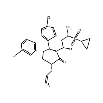 C=CC[C@@H]1C[C@H](c2cccc(Cl)c2)C(c2ccc(Cl)cc2)N(C(CC)CN(C)S(=O)(=O)C2CC2)C1=O